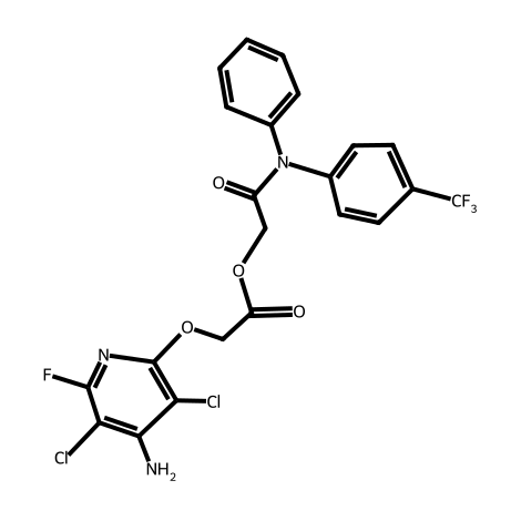 Nc1c(Cl)c(F)nc(OCC(=O)OCC(=O)N(c2ccccc2)c2ccc(C(F)(F)F)cc2)c1Cl